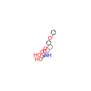 O=C(CC1CCc2cc(OCc3ccccc3)ccc2C1=O)N[C@@H](CO)C(=O)O